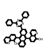 Oc1c(-c2c3ccccc3c(-c3ccc(O)c4ncccc34)c3ccc(-c4nc(-c5ccccc5)nc(-c5ccccc5)n4)cc23)ccc2cccnc12